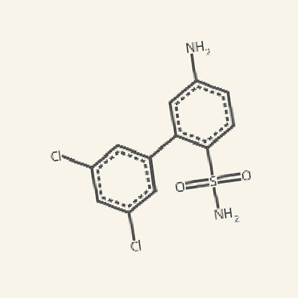 Nc1ccc(S(N)(=O)=O)c(-c2cc(Cl)cc(Cl)c2)c1